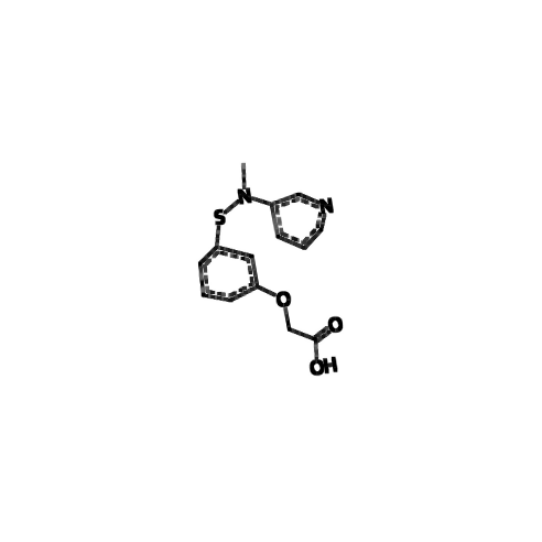 CN(Sc1cccc(OCC(=O)O)c1)c1cccnc1